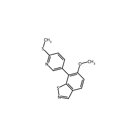 COc1ccc2cnsc2c1-c1ccc(SC)nc1